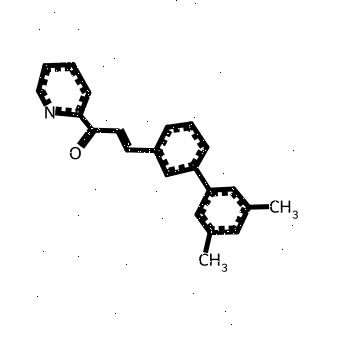 Cc1cc(C)cc(-c2cccc(C=CC(=O)c3ccccn3)c2)c1